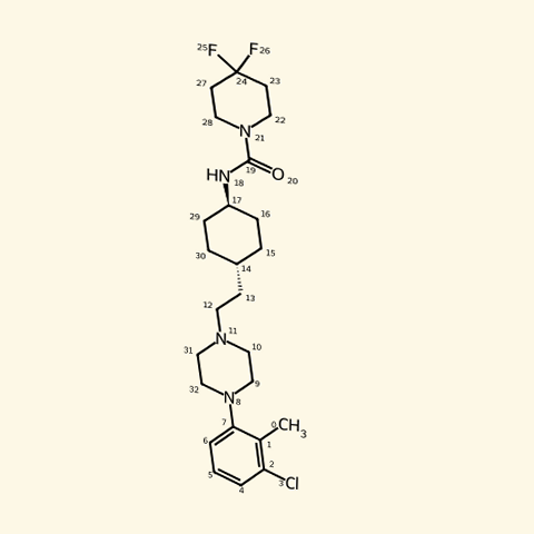 Cc1c(Cl)cccc1N1CCN(CC[C@H]2CC[C@H](NC(=O)N3CCC(F)(F)CC3)CC2)CC1